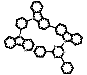 c1ccc(-c2nc(-c3ccccc3)nc(-n3c4ccccc4c4ccc(-c5ccc6c(c5)c5ccccc5n6-c5cccc(-n6c7ccccc7c7ncccc76)c5)cc43)n2)cc1